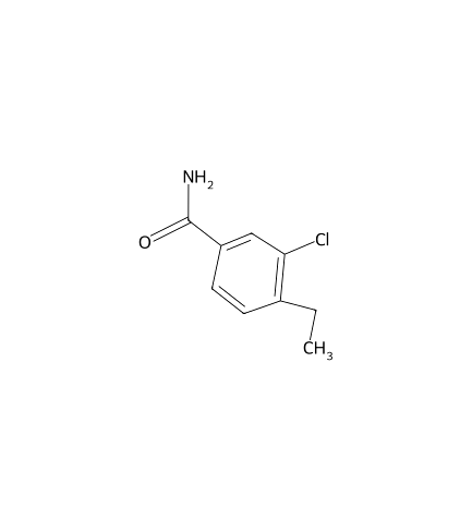 CCc1ccc(C(N)=O)cc1Cl